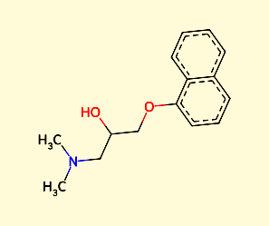 CN(C)CC(O)COc1cccc2ccccc12